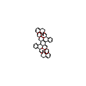 c1ccc2c(c1)CCCN2c1ccc2c(-c3ccccc3-c3ccc4ccccc4c3)c3cc(N4CCCc5ccccc54)ccc3c(-c3ccccc3-c3ccc4ccccc4c3)c2c1